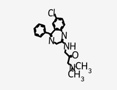 CN(C)CC(=O)CNC1=Nc2ccc(Cl)cc2C(c2ccccc2)=NC1